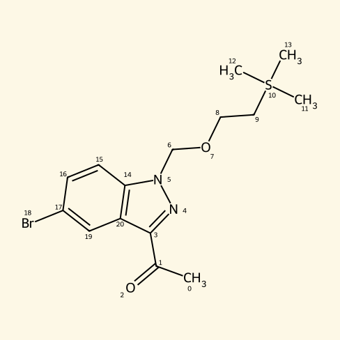 CC(=O)c1nn(COCCS(C)(C)C)c2ccc(Br)cc12